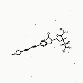 [2H]C([2H])S(=O)(=O)C(C)(CCN1Cc2cc(C#CC#CC3CN(C)C3)cn2C1=O)C(=O)NO